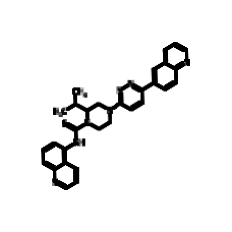 CC(C)C1CN(c2ccc(-c3ccc4ncccc4c3)nn2)CCN1C(=S)Nc1cccc2ncccc12